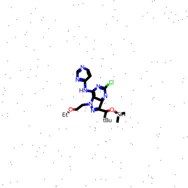 CCOCCn1nc(C(O[SiH](C)C)C(C)(C)C)c2nc(Cl)nc(Nc3ccncn3)c21